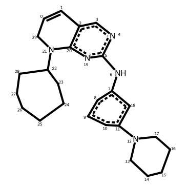 C1=Cc2cnc(Nc3cccc(N4CCCCC4)c3)nc2N(C2CCCCCC2)C1